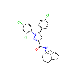 O=C(NC12CCCC3CC(CC31)C2)C1=NN(c2ccc(Cl)cc2Cl)[C@@H](c2ccc(Cl)cc2)C1